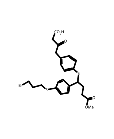 COC(=O)CCC(Sc1ccc(CC(=O)CC(=O)O)cc1)c1ccc(SCCCBr)cc1